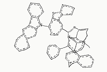 CC1C/C=C(c2cccc(-c3ccccc3)c2)/N=C(c2ccc(-n3c4ccccc4c4cc5ccccc5cc43)c3sc4ccccc4c23)\N=C/1c1cccc2ccccc12